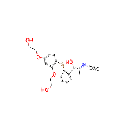 CC(=O)O/N=C(\C)C(O)c1ccccc1Sc1ccc(OCCO)cc1OCCO